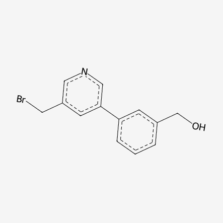 OCc1cccc(-c2cncc(CBr)c2)c1